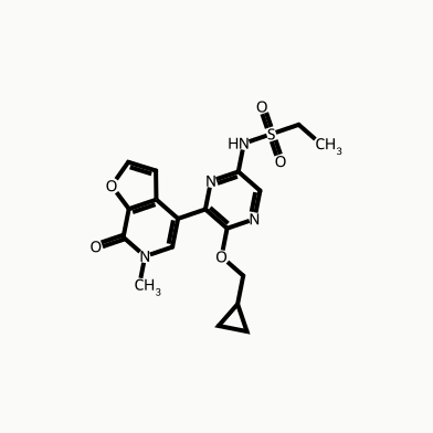 CCS(=O)(=O)Nc1cnc(OCC2CC2)c(-c2cn(C)c(=O)c3occc23)n1